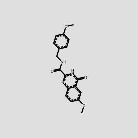 COc1ccc(CNC(=O)c2nc3ccc(OC)cc3c(=O)[nH]2)cc1